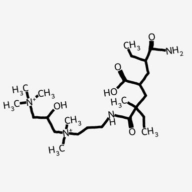 CCC(CC(CC(C)(CC)C(=O)NCCC[N+](C)(C)CC(O)C[N+](C)(C)C)C(=O)O)C(N)=O